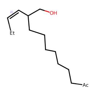 CC/C=C\C(CO)CCCCCCCC(C)=O